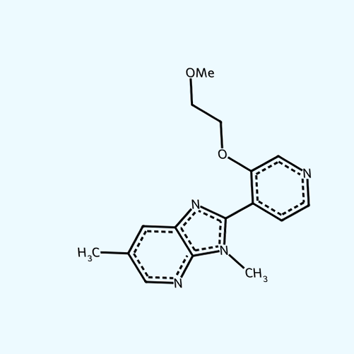 COCCOc1cnccc1-c1nc2cc(C)cnc2n1C